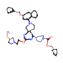 CO[C@@H]1CCN(CCOc2nc3c(c(N4CCN(C(=O)OCc5ccccc5)CC4)n2)CCN(c2cc(OCc4ccccc4)cc4ccccc24)C3)C1